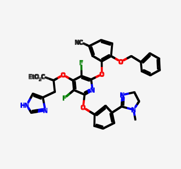 CCOC(=O)C(Cc1c[nH]cn1)Oc1c(F)c(Oc2cccc(C3=NCCN3C)c2)nc(Oc2cc(C#N)ccc2OCc2ccccc2)c1F